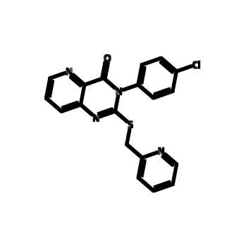 O=c1c2ncccc2nc(SCc2ccccn2)n1-c1ccc(Cl)cc1